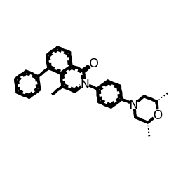 Cc1cn(-c2ccc(N3C[C@@H](C)O[C@@H](C)C3)cc2)c(=O)c2cccc(-c3ccccc3)c12